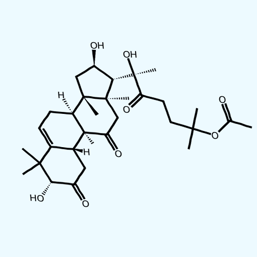 CC(=O)OC(C)(C)CCC(=O)[C@](C)(O)[C@H]1[C@H](O)C[C@@]2(C)[C@@H]3CC=C4[C@@H](CC(=O)[C@H](O)C4(C)C)[C@]3(C)C(=O)C[C@]12C